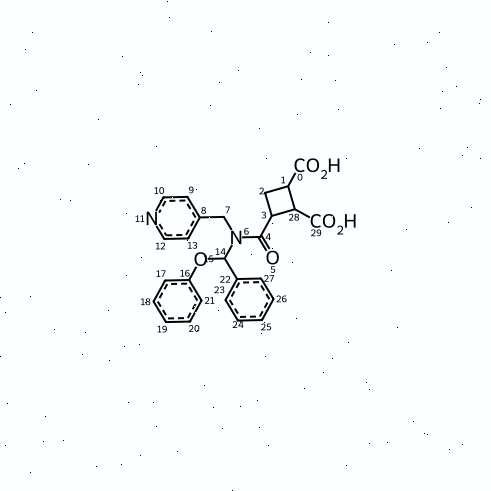 O=C(O)C1CC(C(=O)N(Cc2ccncc2)C(Oc2ccccc2)c2ccccc2)C1C(=O)O